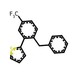 FC(F)(F)c1ccc(Cc2ccccc2)c(-c2cccs2)c1